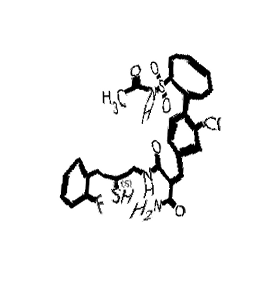 CC(=O)NS(=O)(=O)c1ccccc1-c1ccc(CC(C(N)=O)C(=O)NC[C@@H](S)Cc2ccccc2F)cc1Cl